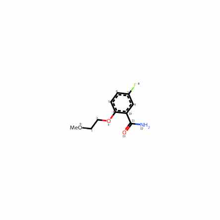 COCCOc1ccc(F)cc1C(N)=O